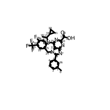 Cc1cccc(-c2nc3nc(C(=O)O)nc(NC(C)C4CC4)c3n2Cc2ccc(F)c(C(F)(F)F)c2)c1